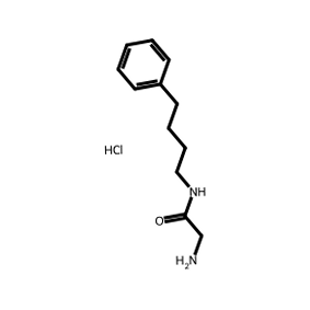 Cl.NCC(=O)NCCCCc1ccccc1